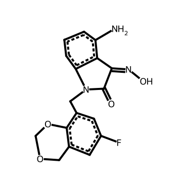 Nc1cccc2c1/C(=N/O)C(=O)N2Cc1cc(F)cc2c1OCOC2